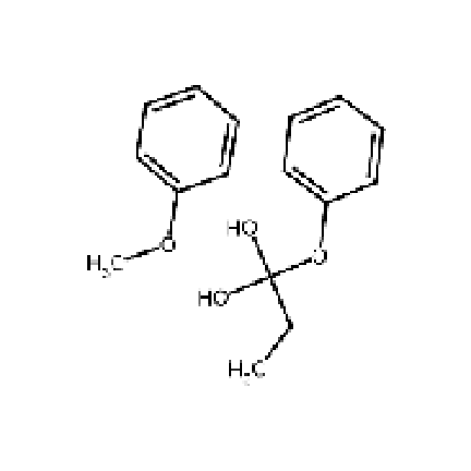 CCC(O)(O)Oc1ccccc1.COc1ccccc1